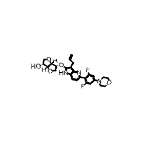 C=CCc1c(O[C@@H]2CO[C@H]3[C@@H]2OC[C@H]3O)[nH]c2ccc(-c3c(F)cc(N4CCOCC4)cc3F)nc12